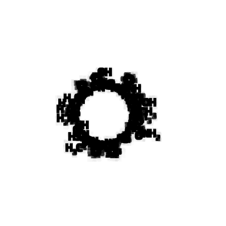 CCCC[C@H]1C(=O)N(CS)CC(=O)N[C@@H](CN)C(=O)N[C@@H](C(C)C)C(=O)N(C)[C@@H](Cc2ccccc2)C(=O)N[C@@H](Cc2ccc(O)cc2)C(=O)N2CCC[C@@H]2C(=O)N[C@@H](Cc2c[nH]c3ccccc23)C(=O)N[C@@H](Cc2ccc(O)cc2)C(=O)N[C@@H](CC(C)C)C(=O)N[C@H](C(=O)NCC(N)=O)CSCC(=O)N[C@@H](Cc2ccccc2)C(=O)N(C)[C@@H](Cc2ccccc2)C(=O)N1C